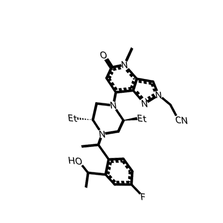 CC[C@H]1CN(C(C)c2ccc(F)cc2C(C)O)[C@H](CC)CN1c1cc(=O)n(C)c2cn(CC#N)nc12